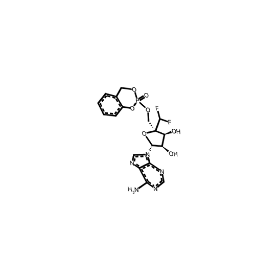 Nc1ncnc2c1ncn2[C@@H]1O[C@@](COP2(=O)OCc3ccccc3O2)(C(F)F)[C@@H](O)[C@H]1O